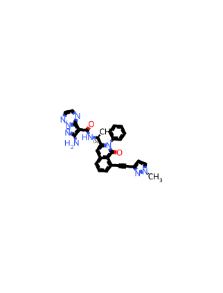 C[C@H](NC(=O)c1c(N)nn2nccnc12)c1cc2cccc(C#Cc3ccn(C)n3)c2c(=O)n1-c1ccccc1